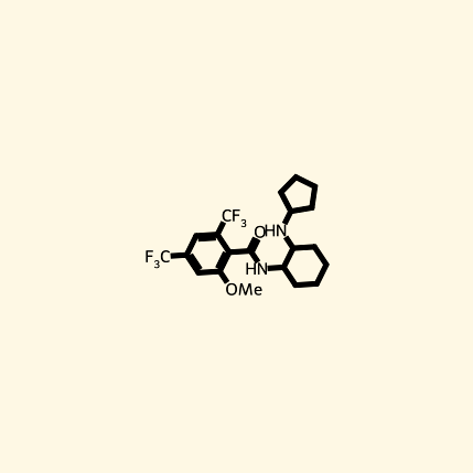 COc1cc(C(F)(F)F)cc(C(F)(F)F)c1C(=O)NC1CCCCC1NC1CCCC1